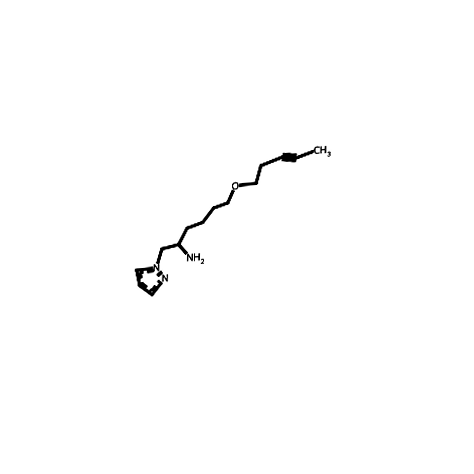 CC#CCCOCCCCC(N)Cn1cccn1